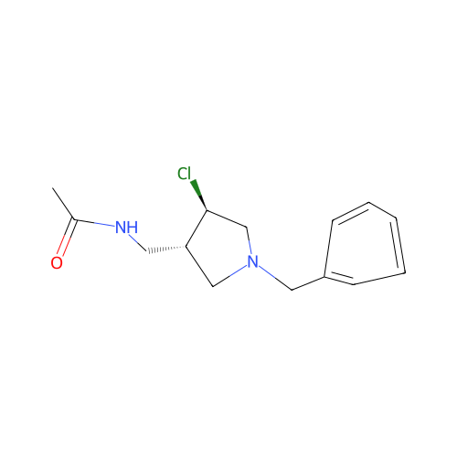 CC(=O)NC[C@H]1CN(Cc2ccccc2)C[C@@H]1Cl